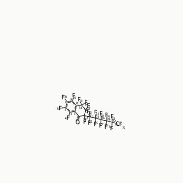 O=C1c2c(F)c(F)c(F)c(F)c2C(F)(F)C(F)(F)C1(F)C(F)(F)C(F)(F)C(F)(F)C(F)(F)C(F)(F)C(F)(F)F